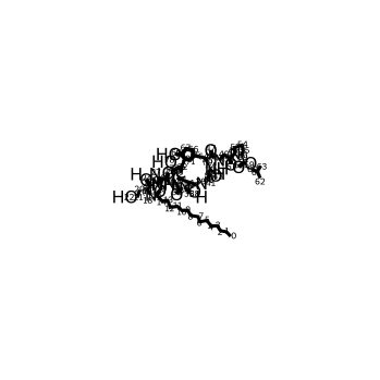 CCCCCCCCCCCCCCCC(=O)N(C)[C@H](CCO)C(=O)N[C@H](N)C(=O)NCC(=O)N(C)[C@@H]1C(=O)N[C@@H](C)C(=O)N[C@H](C(=O)NCC(=O)N2CCC[C@H]2C(=O)OCC(C)C)Cc2ccc(O)c(c2)-c2cc1ccc2O